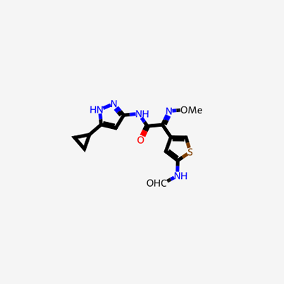 CON=C(C(=O)Nc1cc(C2CC2)[nH]n1)c1csc(NC=O)c1